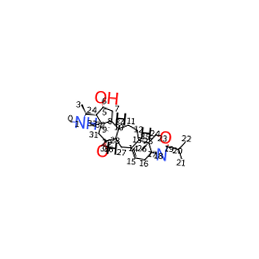 CN[C@@H](C)[C@H]1[C@H](O)C[C@@]2(C)[C@@H]3CC[C@@H]4C(=CCC5N=C(C(C)C)OC[C@]54C)C[C@H]3C(=O)C[C@]12C